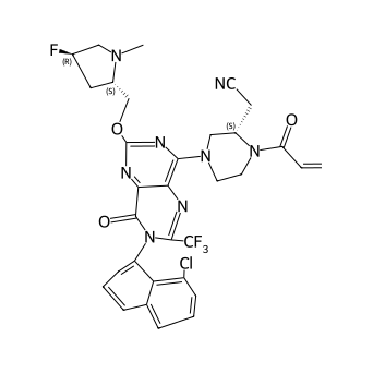 C=CC(=O)N1CCN(c2nc(OC[C@@H]3C[C@@H](F)CN3C)nc3c(=O)n(-c4cccc5cccc(Cl)c45)c(C(F)(F)F)nc23)C[C@@H]1CC#N